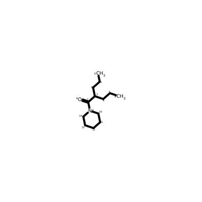 CCCC(CCC)C(=O)N1CCCCC1